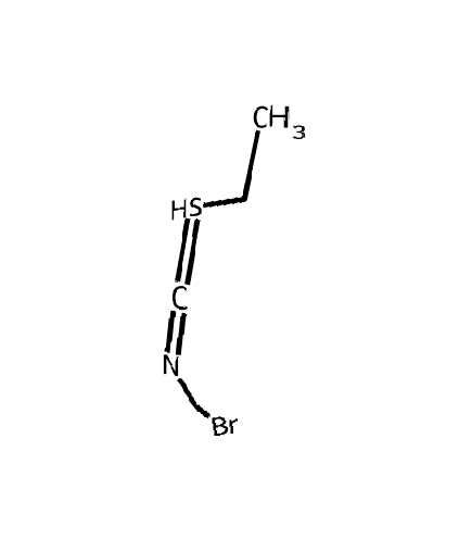 CC[SH]=C=NBr